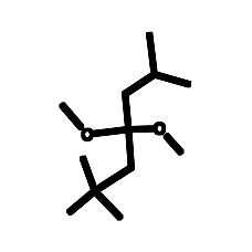 COC(CC(C)C)(CC(C)(C)C)OC